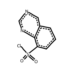 O=S(=O)(Cl)c1cccc2cncnc12